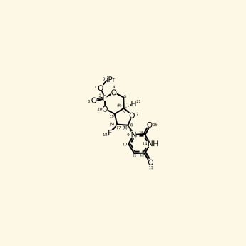 CC(C)OP1(=O)OC[C@H]2O[C@@H](n3ccc(=O)[nH]c3=O)[C@@H](F)C2O1